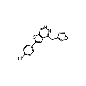 Clc1ccc(-c2cc3c(Cc4ccoc4)nncc3s2)cc1